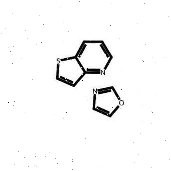 c1cnc2ccsc2c1.c1cocn1